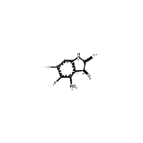 O=C1Nc2cc(F)c(F)c([N+](=O)[O-])c2C1=O